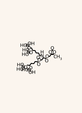 Cc1oc(=O)oc1COC(=O)C(COC(=O)CCCC(CON(O)O)ON(O)O)NC(=O)CCCC(CON(O)O)ON(O)O